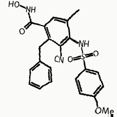 COc1ccc(S(=O)(=O)Nc2c(C)cc(C(=O)NO)c(Cc3ccccc3)c2C#N)cc1